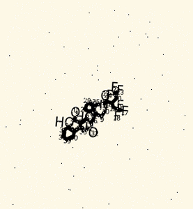 O=C(O)c1cn(C[C@]2(O)CCN(C(=O)C(CC(F)(F)F)CC(F)(F)F)CC23CCCC3)c(=O)cc1-c1ccccc1